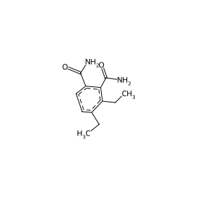 CCc1ccc(C(N)=O)c(C(N)=O)c1CC